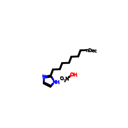 CCCCCCCCCCCCCCCCCc1ncc[nH]1.O=[N+]([O-])O